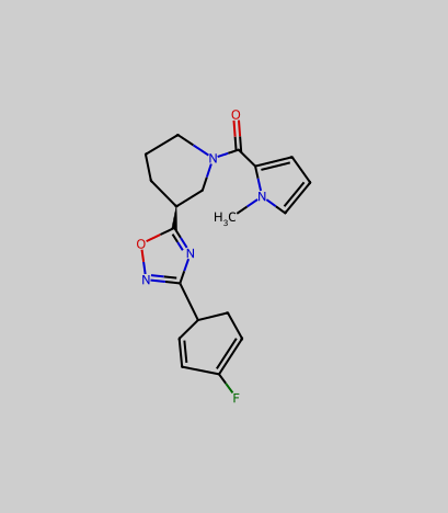 Cn1cccc1C(=O)N1CCC[C@H](c2nc(C3C=CC(F)=CC3)no2)C1